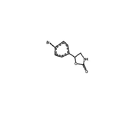 O=C1NCC(c2ccc(Br)cc2)O1